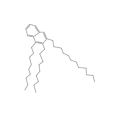 CCCCCCCCCCCCc1cc2ccccc2c(CCCCCCCCC)c1CCCCCCCCC